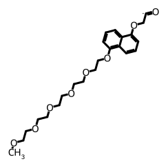 COCCOCCOCCOCCOCCOc1cccc2c(OC[C]=O)cccc12